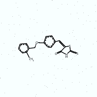 Cc1ccccc1COc1ccc(C=C2SC(=S)NC2=O)cc1